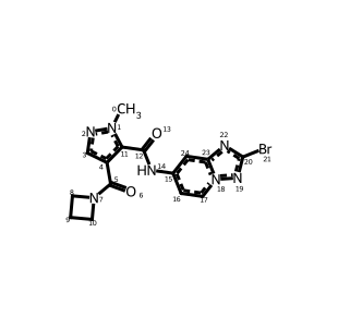 Cn1ncc(C(=O)N2CCC2)c1C(=O)Nc1ccn2nc(Br)nc2c1